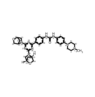 CN1CCN(c2ccc(NC(=O)Nc3ccc(-c4nc(N5CC6CC5CO6)nc(N5C[C@@H]6C[C@H]5CO6)n4)cc3)cc2)CC1